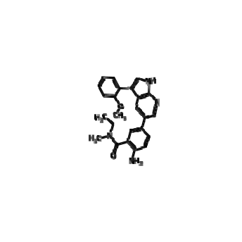 CCN(C)C(=O)c1cc(-c2cnc3[nH]cc(-c4ccccc4OC)c3c2)ccc1N